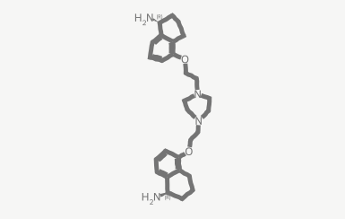 N[C@@H]1CCCc2c(OCCN3CCN(CCOc4cccc5c4CCC[C@H]5N)CC3)cccc21